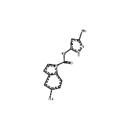 CC(C)(C)c1cc(NC(=O)n2ccc3cc(O)ccc32)[nH]n1